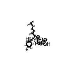 CC(C)=CCC/C(C)=C/C(Nc1ccc(F)cc1)OP(=O)(O)OP(=O)(O)O